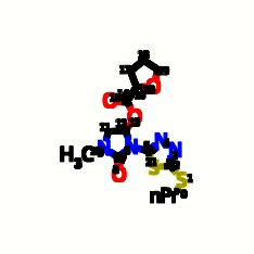 CCCSc1nnc(N2C(=O)N(C)CC2OC(=O)C2CCCO2)s1